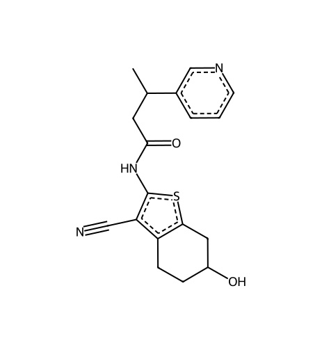 CC(CC(=O)Nc1sc2c(c1C#N)CCC(O)C2)c1cccnc1